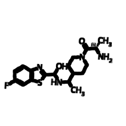 CC(NC(O)c1nc2ccc(F)cc2s1)C1CCN(C(=O)[C@H](C)N)CC1